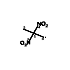 [CH2]C(C)([N+](=O)[O-])[N+](=O)[O-]